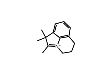 CC1=[N+]2CCCc3cccc(c32)C1(C)C